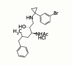 CC(=O)N[C@@H](CC(C)Cc1ccccc1)[C@H](O)CNC1(c2cccc(Br)c2)CC1.Cl